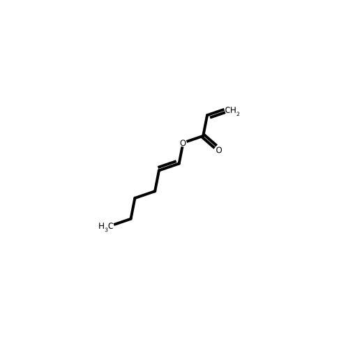 C=CC(=O)O/C=C/CCCC